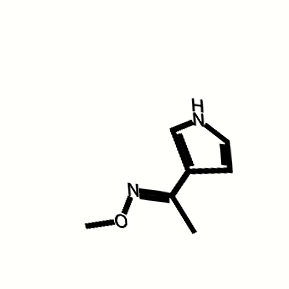 CO/N=C(\C)c1cc[nH]c1